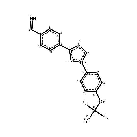 N=Cc1ccc(-c2ncn(-c3ccc(OC(F)(F)C(F)(F)F)cc3)n2)cc1